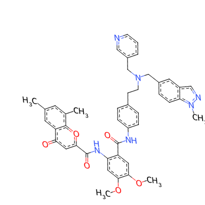 COc1cc(NC(=O)c2cc(=O)c3cc(C)cc(C)c3o2)c(C(=O)Nc2ccc(CCN(Cc3cccnc3)Cc3ccc4c(cnn4C)c3)cc2)cc1OC